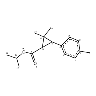 Cc1ccc(C2C(C(=O)OC(C)C)C2(C)C)cc1